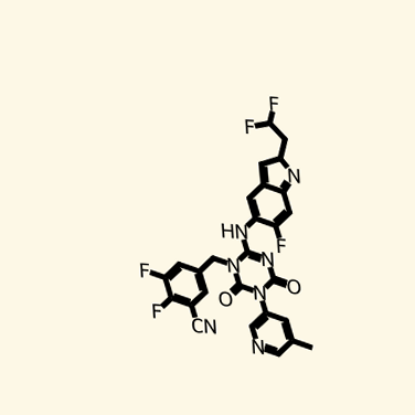 Cc1cncc(-n2c(=O)nc(Nc3cc4c(cc3F)=NC(CC(F)F)C=4)n(Cc3cc(F)c(F)c(C#N)c3)c2=O)c1